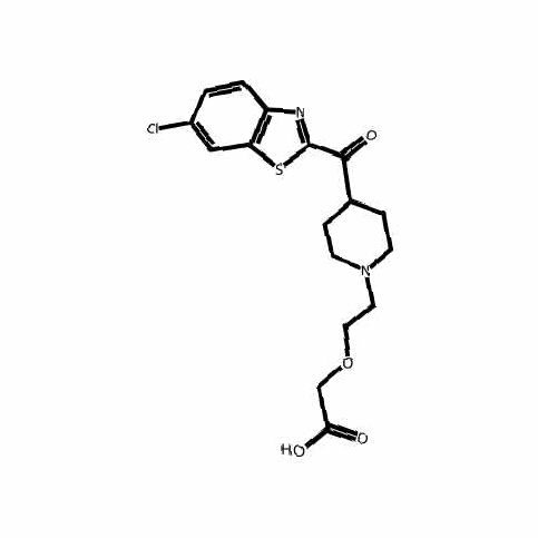 O=C(O)COCCN1CCC(C(=O)c2nc3ccc(Cl)cc3s2)CC1